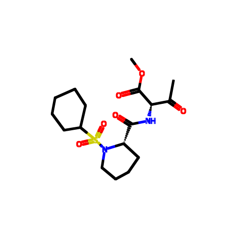 COC(=O)[C@@H](NC(=O)[C@@H]1CCCCN1S(=O)(=O)C1CCCCC1)C(C)=O